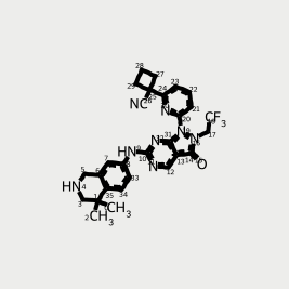 CC1(C)CNCc2cc(Nc3ncc4c(=O)n(CC(F)(F)F)n(-c5cccc(C6(C#N)CCC6)n5)c4n3)ccc21